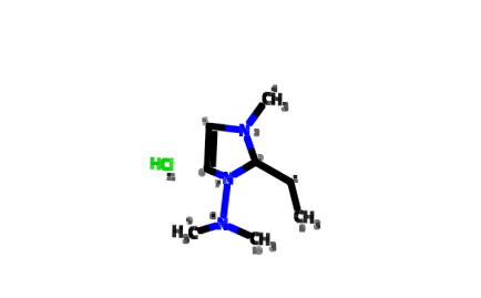 CCC1N(C)C=CN1N(C)C.Cl